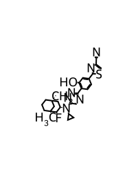 C[C@@]12CCC[C@@](C)(C1)[C@@H](F)[C@@H](N(c1cnc(-c3ccc(-c4nc(C#N)cs4)cc3O)nn1)C1CC1)C2